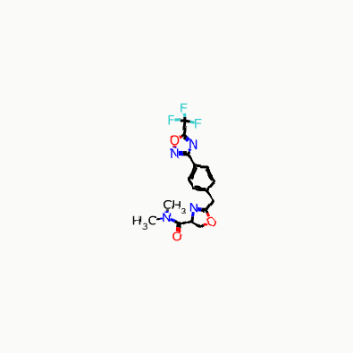 CN(C)C(=O)C1COC(Cc2ccc(-c3noc(C(F)(F)F)n3)cc2)=N1